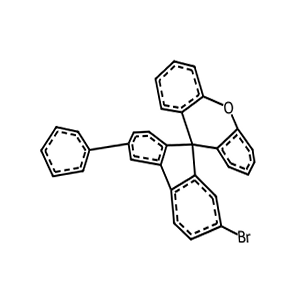 Brc1ccc2c(c1)C1(c3ccccc3Oc3ccccc31)c1ccc(-c3ccccc3)cc1-2